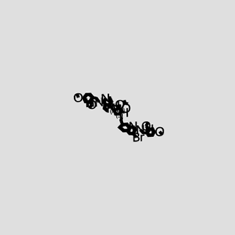 COc1ccc(CNc2nc3cc(CC[C@H]4C[C@@H](n5ccc6c(NCc7ccc(OC)cc7OC)nccc65)[C@@H]5OC(C)(C)O[C@H]45)ccc3cc2Br)c(OC)c1